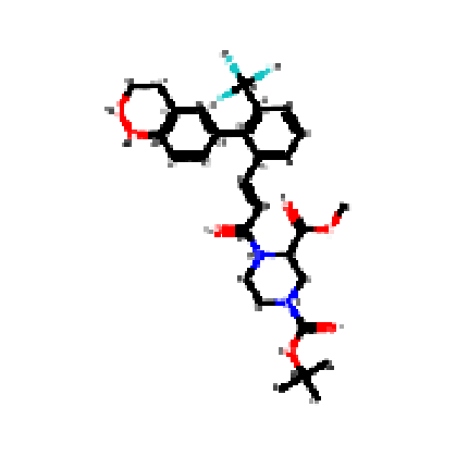 COC(=O)C1CN(C(=O)OC(C)(C)C)CCN1C(=O)/C=C/c1cc[c]c(C(F)(F)F)c1-c1ccc2c(c1)CCOO2